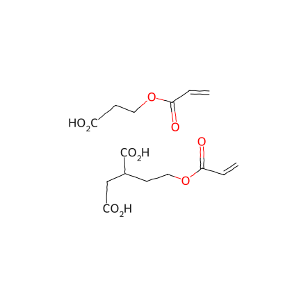 C=CC(=O)OCCC(=O)O.C=CC(=O)OCCC(CC(=O)O)C(=O)O